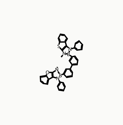 CN1B(c2cccc(-c3cccc(B4N(C)c5sc6ccccc6c5N4c4ccccc4)c3)c2)N(c2ccccc2)c2c1oc1ccccc21